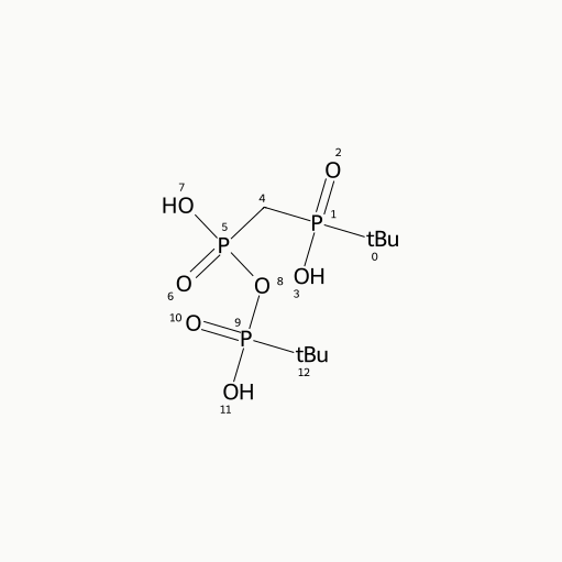 CC(C)(C)P(=O)(O)CP(=O)(O)OP(=O)(O)C(C)(C)C